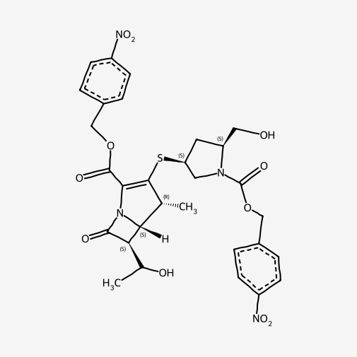 CC(O)[C@H]1C(=O)N2C(C(=O)OCc3ccc([N+](=O)[O-])cc3)=C(S[C@H]3C[C@@H](CO)N(C(=O)OCc4ccc([N+](=O)[O-])cc4)C3)[C@H](C)[C@H]12